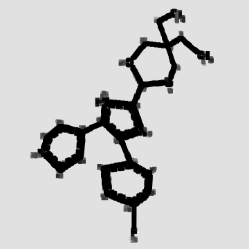 CCC1(CC)COC(c2nc(-c3ccc(F)cc3)c(-c3ccncc3)[nH]2)OC1